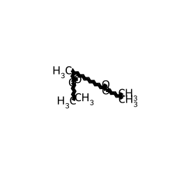 CCC(CCCCCCCCCCC(=O)OCCCCC(C)C)CC(=O)OCCCCC(C)C